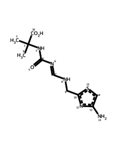 CC(C)(NC(=O)N=CNCc1nc(N)cs1)C(=O)O